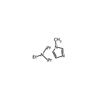 CCN(C(C)C)C(C)C.Cn1ccnc1